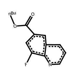 CCCCOC(=O)c1cc(F)c2ncccc2c1